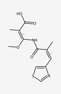 CO/C(NC(=O)/C(C)=C\c1cscn1)=C(\C)C(=O)O